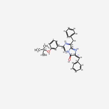 CC(C)(C)[Si](C)(C)Oc1cccc(C2=CN3C(=O)/C(=C\c4ccccc4)N=C3C(Cc3ccccc3)=N2)c1